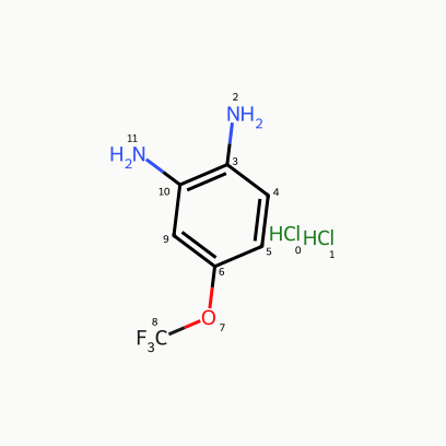 Cl.Cl.Nc1ccc(OC(F)(F)F)cc1N